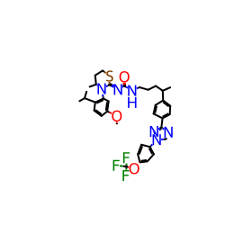 COc1ccc(C(C)C)c(N2/C(=N/C(=O)NCCCC(C)c3ccc(-c4ncn(-c5ccc(OC(F)(F)F)cc5)n4)cc3)SCCC2C)c1